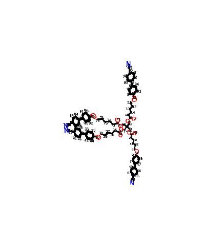 N#Cc1ccc(-c2ccc(OCCCCCC(=O)OCC(COC(=O)CCCCCOc3ccc(-c4ccc(C#N)cc4)cc3)(COC(=O)CCCCCOc3ccc(-c4ccc(C#N)cc4)cc3)COC(=O)CCCCCOc3ccc(-c4ccc(C#N)cc4)cc3)cc2)cc1